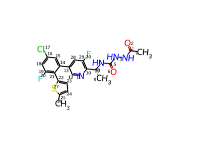 CC(=O)NNC(=O)N[C@H](C)c1ncc(-c2cc(Cl)cc(F)c2-c2ccc(C)s2)cc1F